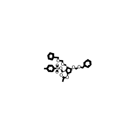 CC(=O)O[C@@H]1C[C@H](OCOCc2ccccc2)[C@@H](COCOCc2ccccc2)[C@@H]1COS(=O)(=O)c1ccc(C)cc1